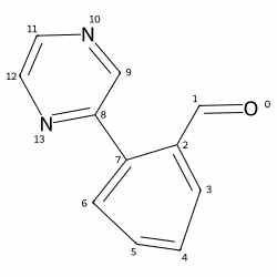 O=Cc1ccccc1-c1cnccn1